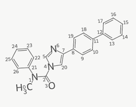 CN(C(=O)n1cnc(-c2ccc(-c3ccccc3)cc2)c1)c1ccccc1